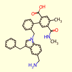 CNC(=O)c1cc(-c2ccccc2Cn2cc(Cc3ccccc3)c3cc(CN)ccc32)c(C(=O)O)cc1C